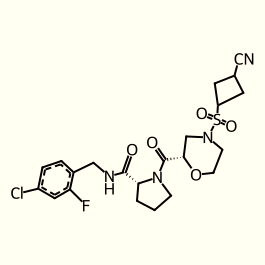 N#CC1CC(S(=O)(=O)N2CCO[C@H](C(=O)N3CCC[C@@H]3C(=O)NCc3ccc(Cl)cc3F)C2)C1